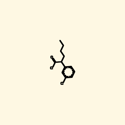 CCCCC(C(=O)Cl)c1cccc(Cl)c1